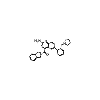 Nc1nc(C(=O)N2Cc3ccccc3C2)c2cc(-c3ccccc3CN3CCCC3)ccc2n1